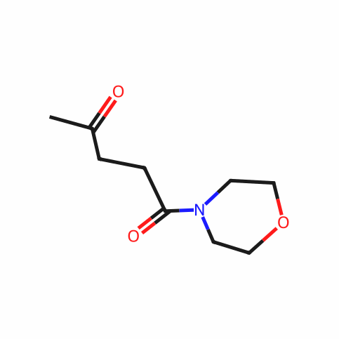 CC(=O)CCC(=O)N1CCOCC1